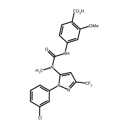 COc1cc(NC(=O)N(C)c2cc(C(F)(F)F)nn2-c2cccc(Cl)c2)ccc1C(=O)O